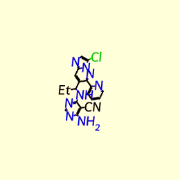 CCC(Nc1ncnc(N)c1C#N)c1cc2ncc(Cl)n2nc1-c1ccccn1